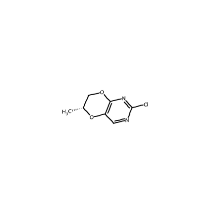 C[C@@H]1COc2nc(Cl)ncc2O1